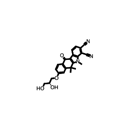 Cn1c2c(c3ccc(C#N)c(C#N)c31)C(=O)c1ccc(OC[C@H](O)CO)cc1C2(C)C